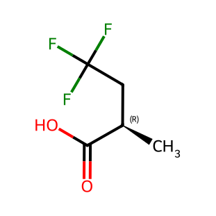 C[C@H](CC(F)(F)F)C(=O)O